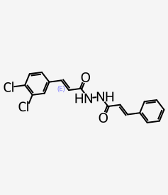 O=C(C=Cc1ccccc1)NNC(=O)/C=C/c1ccc(Cl)c(Cl)c1